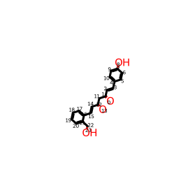 O=C(/C=C/c1ccc(O)cc1)CC(=O)/C=C/c1ccccc1CO